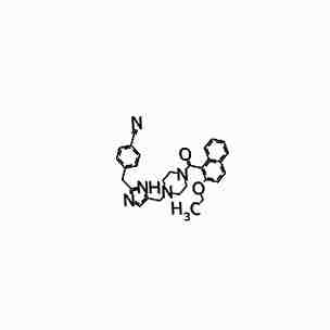 CCOc1ccc2ccccc2c1C(=O)N1CCN(Cc2cnc(Cc3ccc(C#N)cc3)[nH]2)CC1